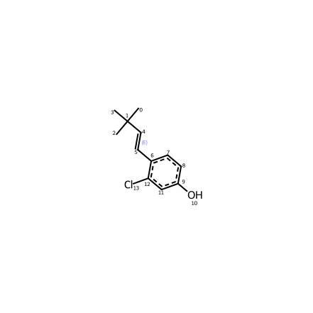 CC(C)(C)/C=C/c1ccc(O)cc1Cl